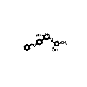 CCCCc1nnc(OC[C@H]2CN(C)C[C@@H]2CO)cc1-c1ccc(OCc2ccccc2)cc1